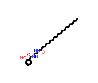 CCC=CCC=CCC=CCC=CCC=CCCCC(=O)NCCNC(=O)c1ccccc1O